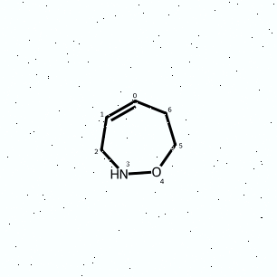 C1=CCNOCC1